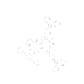 c1ccc(-n2ccn(-c3ccccc3)c3cc4c(cc32)c2ccc(-n3c5ccccc5c5cc(-n6c7ccccc7c7ccccc76)ccc53)cc2c2cc(-n3c5ccccc5c5cc(-n6c7ccccc7c7ccccc76)ccc53)ccc2c2cccnc24)cc1